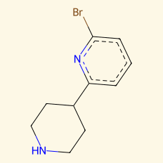 Brc1cccc(C2CCNCC2)n1